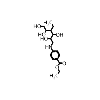 CCOC(=O)c1ccc(NCC(O)C(O)C(CC)C(O)CO)cc1